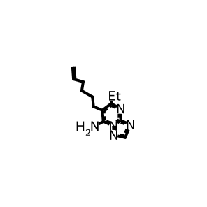 C=CCCCCc1c(CC)nc2ncnn2c1N